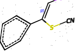 N#CS/C(=C\I)c1ccccc1